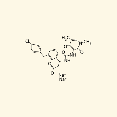 Cc1cn(C)c(=O)c(NC(=O)NC(CC(=O)[O-])c2cccc(Cc3ccc(Cl)cc3)c2)c1[O-].[Na+].[Na+]